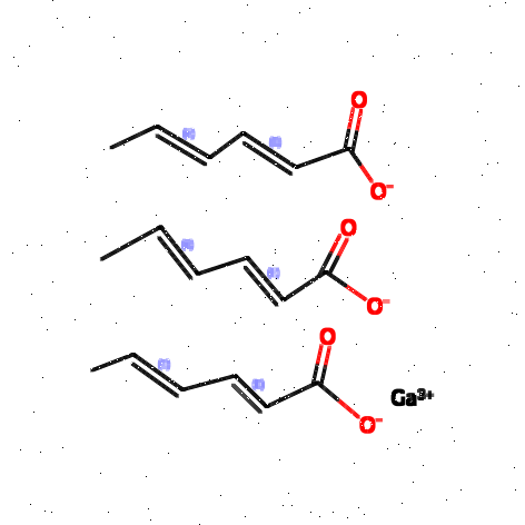 C/C=C/C=C/C(=O)[O-].C/C=C/C=C/C(=O)[O-].C/C=C/C=C/C(=O)[O-].[Ga+3]